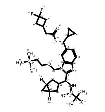 CC(C)(C)[S@@+]([O-])N[C@H](c1nc2ccc([C@H](NC(=O)CC3CC(F)(F)C3)C3CC3)cc2n1COCC[Si](C)(C)C)C1C[C@@H]2C[C@@H]2C1